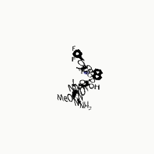 COc1nc(N)nc2c1nc(I)n2[C@@H]1O[C@H](COc2ccc3ccccc3c2O/[P+]([O-])=N/[C@@H](C)C(=O)OCc2ccc(F)cc2F)[C@@H](O)[C@@]1(C)O